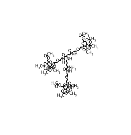 CC(=O)NC1C(OCCOCCNC(=O)CC[C@H](NCCC[C@H](N)C(=O)NCCOCCOC2OC(COC(C)=O)C(OC(C)=O)C(OC(C)=O)C2NC(C)=O)C(=O)NCCOCCOC2OC(COC(C)=O)C(OC(C)=O)C(OC(C)=O)C2NC(C)=O)OC(COC(C)=O)C(OC(C)=O)C1OC(C)=O